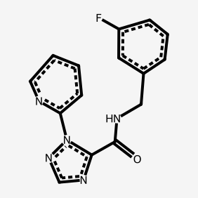 O=C(NCc1cccc(F)c1)c1ncnn1-c1ccccn1